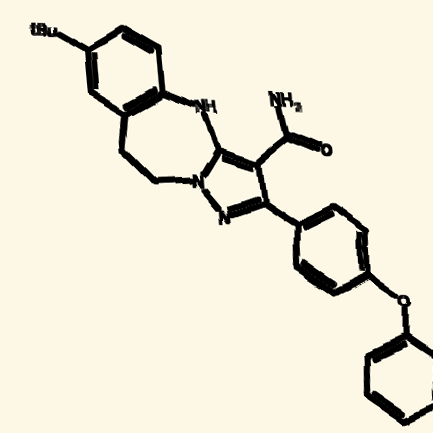 CC(C)(C)c1ccc2c(c1)CCn1nc(-c3ccc(Oc4ccccc4)cc3)c(C(N)=O)c1N2